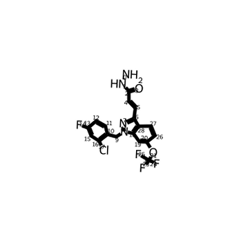 NNC(=O)C=Cc1nn(Cc2ccc(F)cc2Cl)c2cc(OC(F)(F)F)ccc12